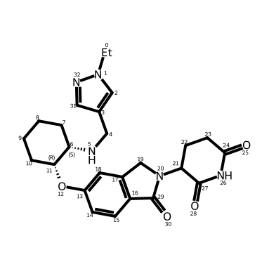 CCn1cc(CN[C@H]2CCCC[C@H]2Oc2ccc3c(c2)CN(C2CCC(=O)NC2=O)C3=O)cn1